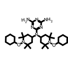 CC1(C)CC(N(c2nc(N)nc(N)n2)C2CC(C)(C)N(OC3CCCCC3)C(C)(C)C2)CC(C)(C)N1OC1CCCCC1